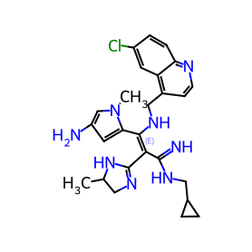 CC1CN=C(/C(C(=N)NCC2CC2)=C(/NCc2ccnc3ccc(Cl)cc23)c2cc(N)cn2C)N1